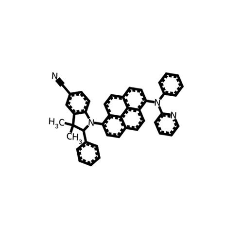 CC1(C)c2cc(C#N)ccc2N(c2ccc3ccc4c(N(c5ccccc5)c5ccccn5)ccc5ccc2c3c54)C1c1ccccc1